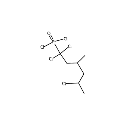 CC(Cl)CC(C)CC(Cl)(Cl)P(=O)(Cl)Cl